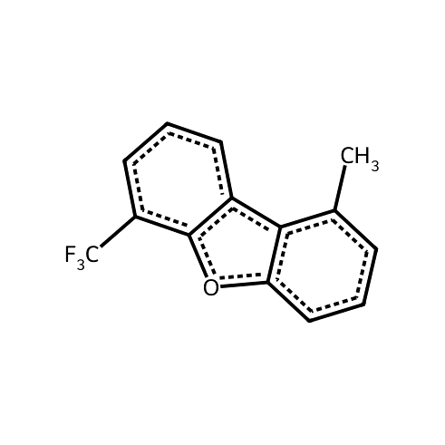 Cc1cccc2oc3c(C(F)(F)F)cccc3c12